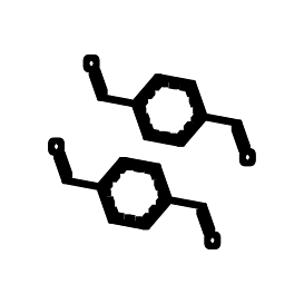 O=Cc1ccc(C=O)cc1.O=Cc1ccc(C=O)cc1